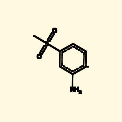 CS(=O)(=O)c1cc[c]c(N)c1